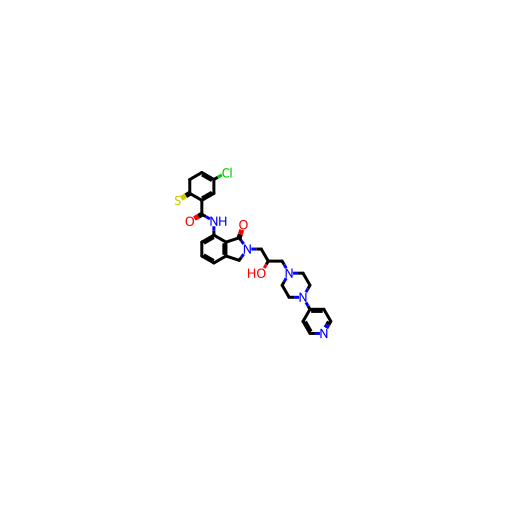 O=C(Nc1cccc2c1C(=O)N(CC(O)CN1CCN(c3ccncc3)CC1)C2)C1=CC(Cl)=CCC1=S